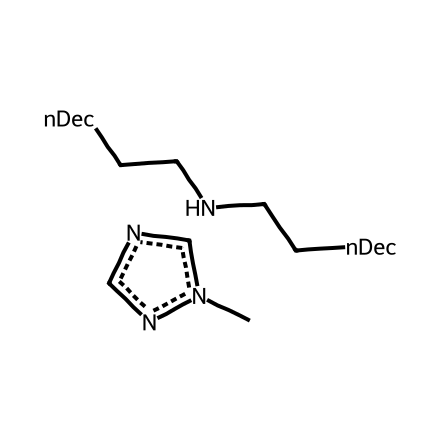 CCCCCCCCCCCCNCCCCCCCCCCCC.Cn1cncn1